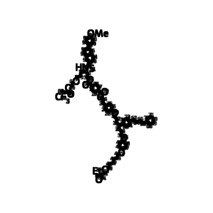 C=C(C(=O)OCCOCCCC(CCOC(=O)C1CCC(C(=O)OCCc2ccc(OCCCC(CCCOc3ccc(OCCCCCCOCC4(CC)COC4)cc3)c3ccc(/C=C/C=C/c4ccccc4)cc3)cc2)CC1)NC(=S)c1ccc2cc(-c3ccc(OC)cc3)ccc2c1)C(F)(F)F